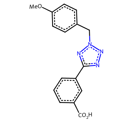 COc1ccc(Cn2nnc(-c3cccc(C(=O)O)c3)n2)cc1